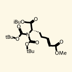 COC(=O)/C=C/CC[C@@H](C(=O)OCC(C)C)N(C(=O)OC(C)(C)C)C(=O)OC(C)(C)C